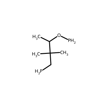 CC(OP)C(C)(C)CP